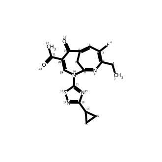 CCC1=C(F)C=C2CC(=N1)N(c1nc(C3CC3)ns1)C=C(C(C)=O)C2=O